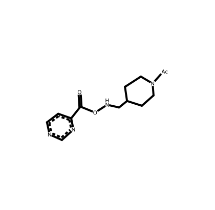 CC(=O)N1CCC(CNOC(=O)c2ccncn2)CC1